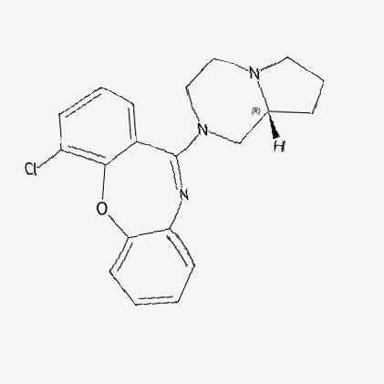 Clc1cccc2c1Oc1ccccc1N=C2N1CCN2CCC[C@@H]2C1